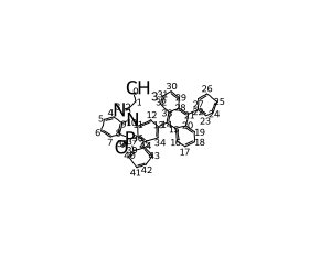 CCc1nc2cccc3c2n1-c1cc(-c2c4ccccc4c(-c4ccccc4)c4ccccc24)ccc1P3(=O)c1ccccc1